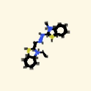 CCN1C(=CN=Nc2sc3ccccc3[n+]2C)Sc2ccccc21